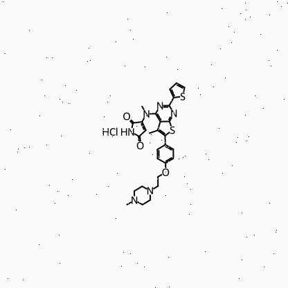 Cc1c(-c2ccc(OCCN3CCN(C)CC3)cc2)sc2nc(-c3cccs3)nc(N(C)C3=CC(=O)NC3=O)c12.Cl